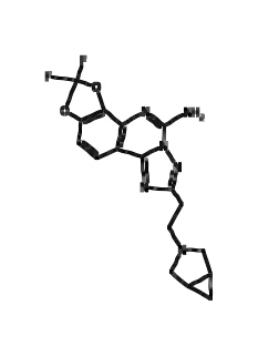 Nc1nc2c3c(ccc2c2nc(CCN4CC5CC5C4)nn12)OC(F)(F)O3